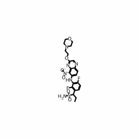 CCC(c1ccc(F)c(Nc2ccc3ncc(OCCN4CCOCC4)nc3c2[N+](=O)[O-])c1F)S(N)(=O)=O